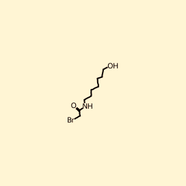 O=C(CBr)NCCCCCCCO